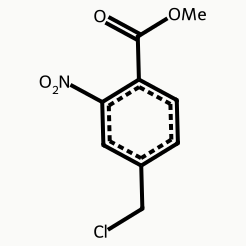 COC(=O)c1ccc(CCl)cc1[N+](=O)[O-]